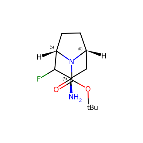 CC(C)(C)OC(=O)N1[C@@H]2CC[C@H]1C(F)[C@H](N)C2